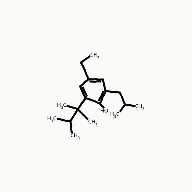 CCc1cc(CC(C)C)c(O)c(C(C)(C)C(C)C)c1